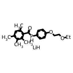 CCOCCOc1ccc(PC(=O)c2c(C)cc(C)c(C)c2C)cc1.[LiH]